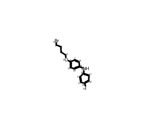 BrCCCCOc1ccc(Nc2ccc(I)cc2)cc1